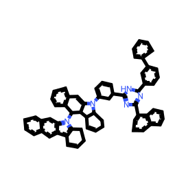 C1=CC(C2=NC(c3cccc4ccccc34)=NC(c3cccc(-c4ccccc4)c3)N2)CC(N2C3=Cc4ccccc4C(n4c5c(c6cc7ccccc7cc64)C=CCC5)C3C3C=CCCC32)=C1